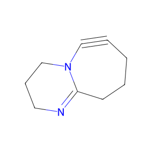 C1#CN2CCCN=C2CCC1